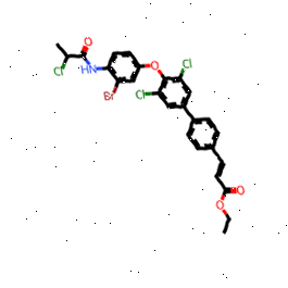 CCOC(=O)C=Cc1ccc(-c2cc(Cl)c(Oc3ccc(NC(=O)C(C)Cl)c(Br)c3)c(Cl)c2)cc1